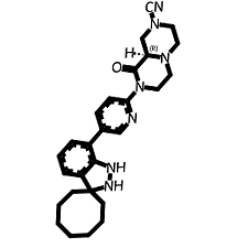 N#CN1CCN2CCN(c3ccc(-c4cccc5c4NNC54CCCCCCC4)cn3)C(=O)[C@H]2C1